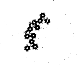 N#Cc1cc(C#N)c(-n2c3ccccc3c3c(-c4ccc5c(c4)c4ccccc4n5-c4ccccc4)cccc32)cc1-n1c2ccccc2c2c(-c3ccc4c(c3)c3ccccc3n4-c3ccccc3)cccc21